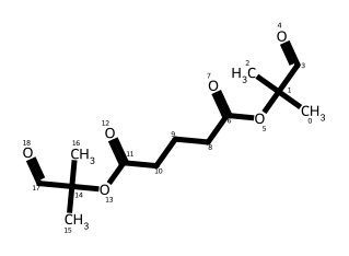 CC(C)(C=O)OC(=O)CCCC(=O)OC(C)(C)C=O